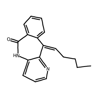 CCCC/C=C1/c2ccccc2C(=O)Nc2cccnc21